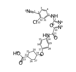 N#Cc1ccc(Nc2nnc(C(=O)Nc3ccc(OC4CCC(C(=O)O)CC4)cc3)o2)cc1Cl